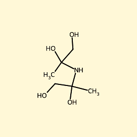 CC(O)(CO)NC(C)(O)CO